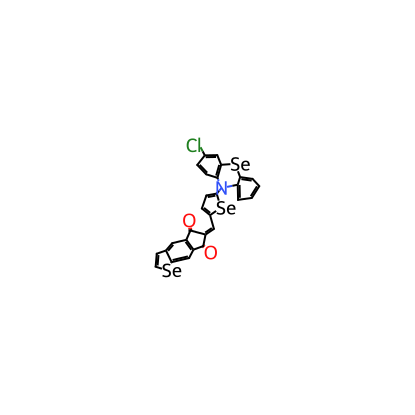 O=C1/C(=C\c2ccc(N3c4ccccc4[Se]c4cc(Cl)ccc43)[se]2)C(=O)c2cc3[se]ccc3cc21